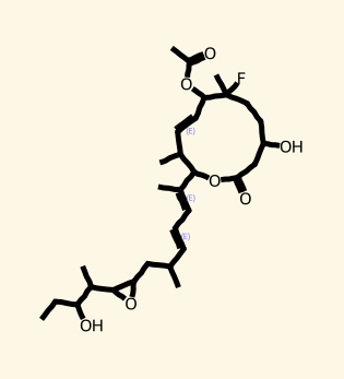 CCC(O)C(C)C1OC1CC(C)/C=C/C=C(\C)C1OC(=O)CC(O)CCC(C)(F)C(OC(C)=O)/C=C/C1C